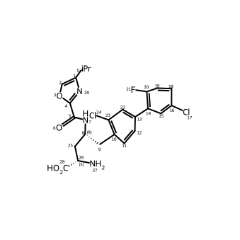 CC(C)c1coc(C(=O)N[C@H](Cc2ccc(-c3cc(Cl)ccc3F)cc2Cl)C[C@H](N)C(=O)O)n1